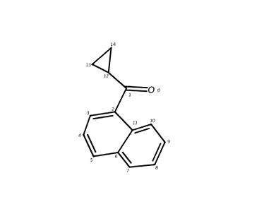 O=C(c1cccc2ccccc12)C1CC1